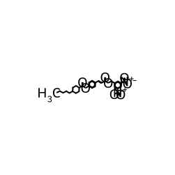 CCCCCC1CCC(C(=O)Oc2ccc(C=CC(=O)OCc3cc([N+](=O)[O-])cc([N+](=O)[O-])c3)cc2)CC1